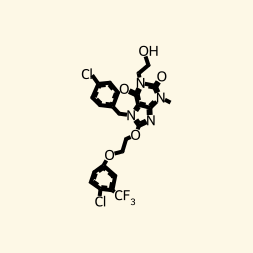 Cn1c(=O)n(CCO)c(=O)c2c1nc(OCCOc1ccc(Cl)c(C(F)(F)F)c1)n2Cc1ccc(Cl)cc1